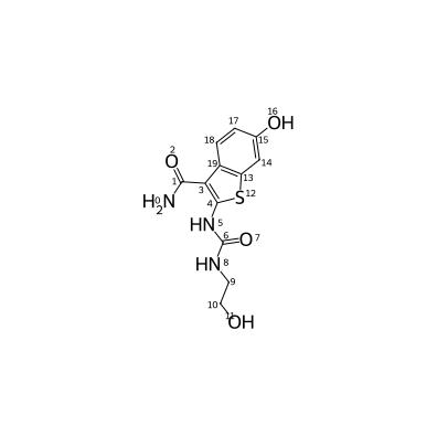 NC(=O)c1c(NC(=O)NCCO)sc2cc(O)ccc12